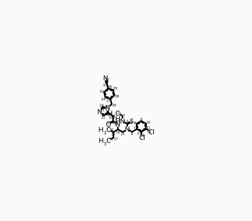 CCNC(=S)N(Cc1cccc(Cl)c1Cl)CC(NC(=O)Cc1cncn1Cc1ccc(C#N)cc1)C(C)CC